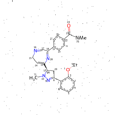 CCOc1ccccc1C1=NN(C)[C@@H](C2=CCN=CC(c3ccc(C(=O)NC)cc3)=N2)C1